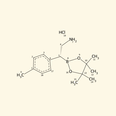 Cc1ccc([C@H](CN)B2OC(C)(C)C(C)(C)O2)cc1.Cl